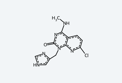 CNc1nc(=O)n(Cc2c[nH]cn2)c2nc(Cl)ccc12